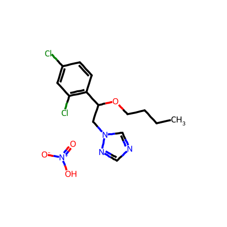 CCCCOC(Cn1cncn1)c1ccc(Cl)cc1Cl.O=[N+]([O-])O